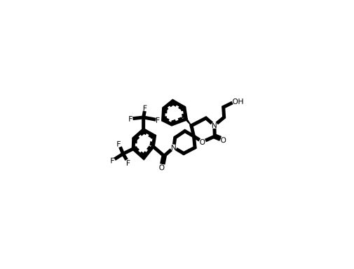 O=C1OC2(CCN(C(=O)c3cc(C(F)(F)F)cc(C(F)(F)F)c3)CC2)[C@@H](c2ccccc2)CN1CCO